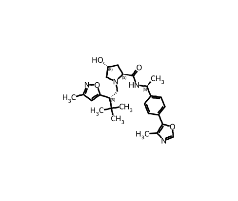 Cc1cc([C@H](CN2C[C@H](O)C[C@H]2C(=O)N[C@@H](C)c2ccc(-c3ocnc3C)cc2)C(C)(C)C)on1